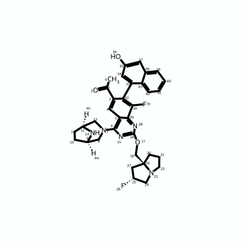 CC(=O)c1cc2c(N3C[C@H]4CC[C@@H](C3)N4)nc(OC[C@@]34CCCN3C[C@H](F)C4)nc2c(F)c1-c1cc(O)cc2ccccc12